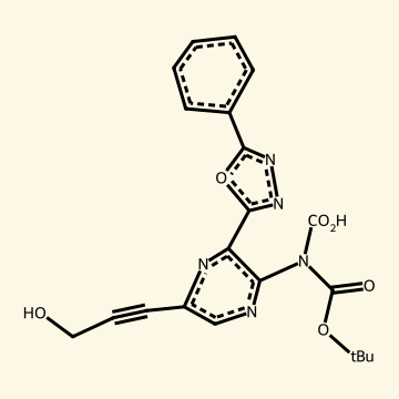 CC(C)(C)OC(=O)N(C(=O)O)c1ncc(C#CCO)nc1-c1nnc(-c2ccccc2)o1